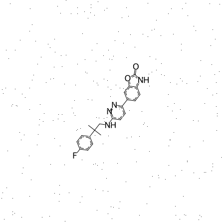 CC(C)(CNc1ccc(-c2ccc3[nH]c(=O)oc3c2)nn1)c1ccc(F)cc1